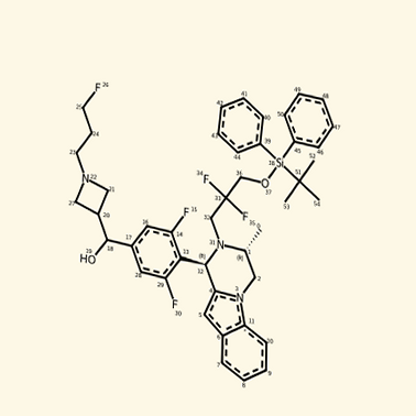 C[C@@H]1Cn2c(cc3ccccc32)[C@@H](c2c(F)cc(C(O)C3CN(CCCF)C3)cc2F)N1CC(F)(F)CO[Si](c1ccccc1)(c1ccccc1)C(C)(C)C